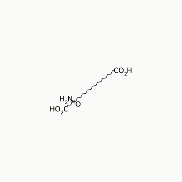 N[C@@H](CCC(=O)O)C(=O)CCCCCCCCCCCCCCCC(=O)O